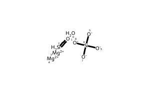 O.O=[SiH2].[Mg+2].[Mg+2].[O-][Si]([O-])([O-])[O-]